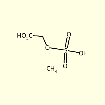 C.O=C(O)COS(=O)(=O)O